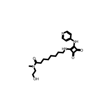 CN(CCO)C(=O)CCCCCCCNc1c(Nc2ccncc2)c(=O)c1=O